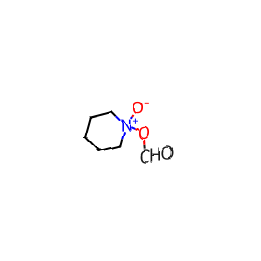 O=CO[N+]1([O-])CCCCC1